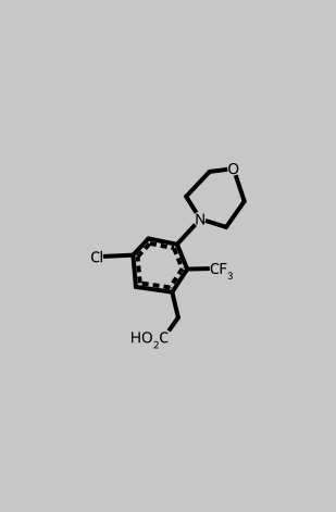 O=C(O)Cc1cc(Cl)cc(N2CCOCC2)c1C(F)(F)F